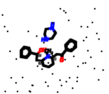 C1CNCCN1.CN1[C@@H](CC(=O)c2ccccc2)CCC[C@H]1C[C@H](O)c1ccccc1